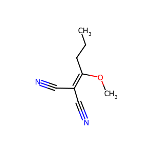 CCCC(OC)=C(C#N)C#N